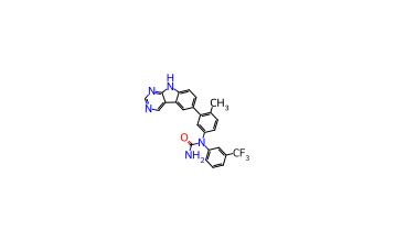 Cc1ccc(N(C(N)=O)c2cccc(C(F)(F)F)c2)cc1-c1ccc2[nH]c3ncncc3c2c1